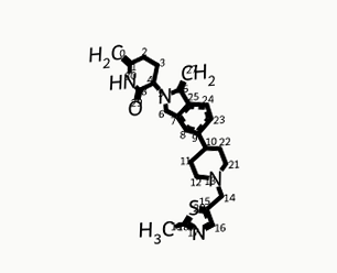 C=C1CCC(N2Cc3cc(C4CCN(Cc5cnc(C)s5)CC4)ccc3C2=C)C(=O)N1